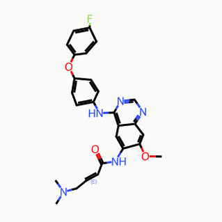 COc1cc2ncnc(Nc3ccc(Oc4ccc(F)cc4)cc3)c2cc1NC(=O)/C=C/CN(C)C